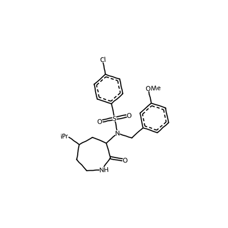 COc1cccc(CN(C2CC(C(C)C)CCNC2=O)S(=O)(=O)c2ccc(Cl)cc2)c1